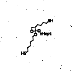 CCCCCCCOC1(OCCCCCCS)OCC1CCCCS